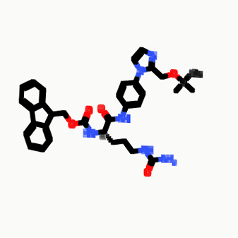 CC(C)(C)[Si](C)(C)OCc1nccn1-c1ccc(NC(=O)[C@H](CCCNC(N)=O)NC(=O)OCC2c3ccccc3-c3ccccc32)cc1